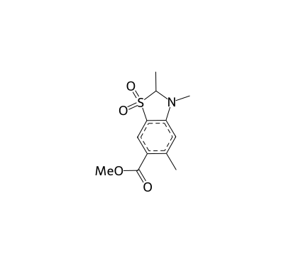 COC(=O)c1cc2c(cc1C)N(C)C(C)S2(=O)=O